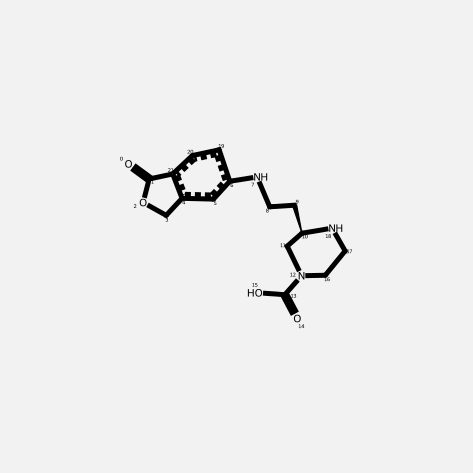 O=C1OCc2cc(NCC[C@@H]3CN(C(=O)O)CCN3)ccc21